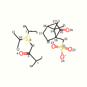 CC(C)C(=O)C[S+](C(C)C)C(C)C.CC1(C)C2CCC1(CS(=O)(=O)[O-])C(=O)C2